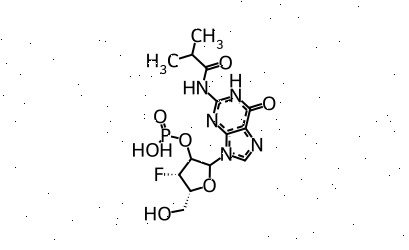 CC(C)C(=O)Nc1nc2c(ncn2C2O[C@H](CO)[C@H](F)C2O[PH](=O)O)c(=O)[nH]1